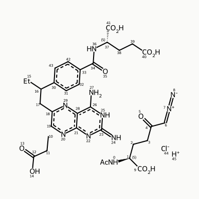 CC(=O)N[C@@H](CCC(=O)C=[N+]=[N-])C(=O)O.CCC(=O)O.CCC(Cc1cnc2nc(=N)[nH]c(N)c2n1)c1ccc(C(=O)N[C@@H](CCC(=O)O)C(=O)O)cc1.[Cl-].[H+]